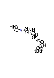 CC(C)(C)OC(=O)NCC(=O)N1CCC(S(=O)(=O)c2ccc(Nc3ncc(/C=C/c4cccc5[nH]ccc45)cn3)cc2)CC1